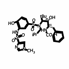 CC(C)CN(C([C@H](O)[C@H](Cc1ccccc1)NC(=O)O)C(C)(C)C)S(=O)(=O)c1ccc(O)c(NS(=O)(=O)c2cn(C)cn2)c1